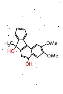 COc1cc2c(O)cc3c(c2cc1OC)-c1ccccc1C3(C)O